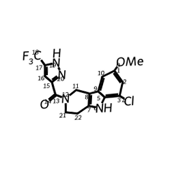 COc1cc(Cl)c2[nH]c3c(c2c1)CN(C(=O)c1cc(C(F)(F)F)[nH]n1)CC3